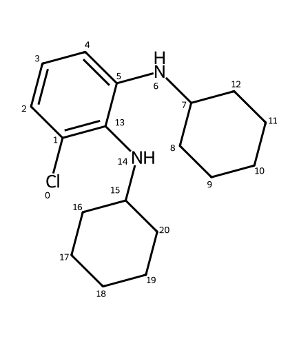 Clc1cccc(NC2CCCCC2)c1NC1CCCCC1